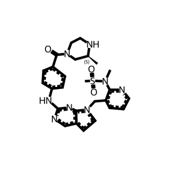 C[C@H]1CN(C(=O)c2ccc(Nc3ncc4ccn(Cc5cccnc5N(C)S(C)(=O)=O)c4n3)cc2)CCN1